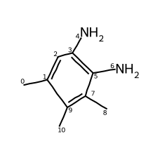 Cc1cc(N)c(N)c(C)c1C